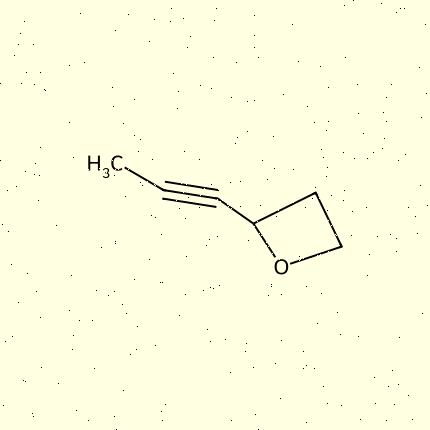 CC#CC1CCO1